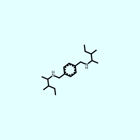 CCC(C)C(C)NCc1ccc(CNC(C)C(C)CC)cc1